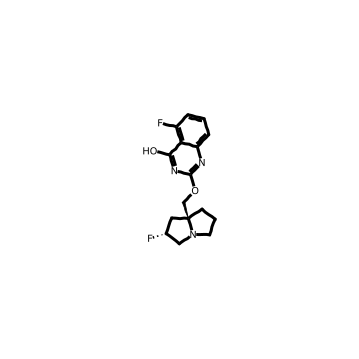 Oc1nc(OC[C@@]23CCCN2C[C@H](F)C3)nc2cccc(F)c12